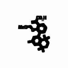 C=C(C(=O)O)c1cccc(-c2cc(C)cc3c2C(C)(C)CCC3(C)C)c1OCOC